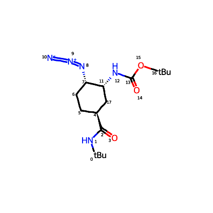 CC(C)(C)NC(=O)[C@H]1CC[C@H](N=[N+]=[N-])[C@H](NC(=O)OC(C)(C)C)C1